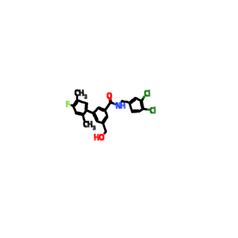 Cc1cc(-c2cc(CO)cc(C(=O)NCc3ccc(Cl)c(Cl)c3)c2)c(C)cc1F